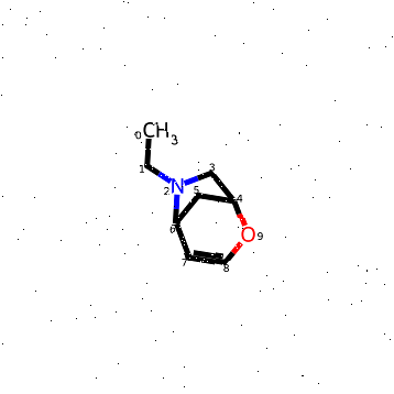 CCN1CC2CC1C=CO2